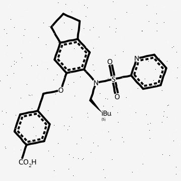 CC[C@H](C)CN(c1cc2c(cc1OCc1ccc(C(=O)O)cc1)CCC2)S(=O)(=O)c1ccccn1